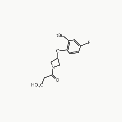 CC(C)(C)c1cc(F)ccc1OC1CN(C(=O)CC(=O)O)C1